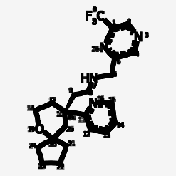 FC(F)(F)c1cncc(CNCC[C@]2(c3ccccn3)CCOC3(CCCC3)C2)n1